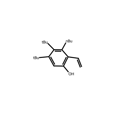 C=Cc1c(O)cc(C(C)(C)C)c(C(C)(C)C)c1CCCC